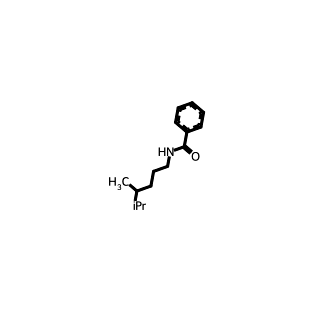 CC(C)C(C)CCCNC(=O)c1ccccc1